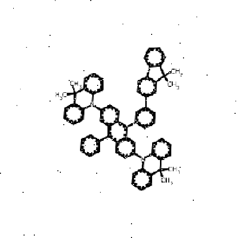 CC1(C)c2ccccc2-c2ccc(-c3cccc(-c4c5ccc(N6c7ccccc7C(C)(C)c7ccccc76)cc5c(-c5ccccc5)c5ccc(N6c7ccccc7C(C)(C)c7ccccc76)cc45)c3)cc21